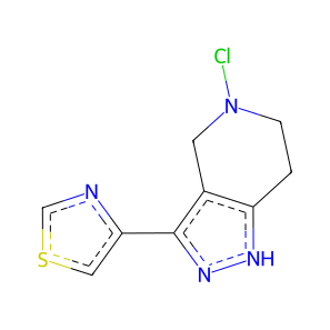 ClN1CCc2[nH]nc(-c3cscn3)c2C1